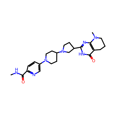 CNC(=O)c1ccc(N2CCC(N3CCC(c4nc5c(c(=O)[nH]4)CCCN5C)C3)CC2)cn1